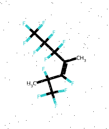 C/C(=C(\F)C(C)(F)C(F)(F)F)C(F)(F)C(F)(F)C(F)(F)F